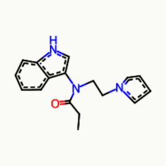 CCC(=O)N(CCn1cccc1)c1c[nH]c2ccccc12